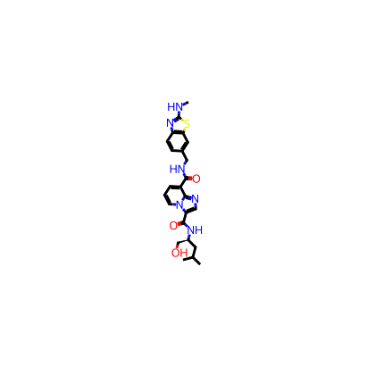 CNc1nc2ccc(CNC(=O)c3cccn4c(C(=O)N[C@H](CO)CC(C)C)cnc34)cc2s1